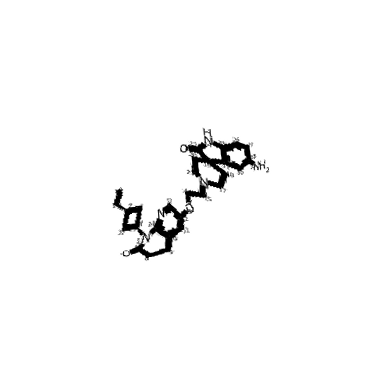 CC[C@H]1C[C@@H](N2C(=O)CCc3cc(OCCN4CCC5(CC4)C(=O)Nc4ccc(N)cc45)cnc32)C1